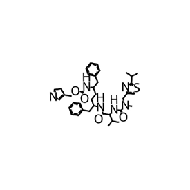 CC(C)c1nc(CN(C)C(=O)NC(C(=O)NC(CCC(Cc2ccccc2)NC(=O)OCC2=CN=CC2)Cc2ccccc2)C(C)C)cs1